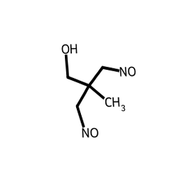 CC(CO)(CN=O)CN=O